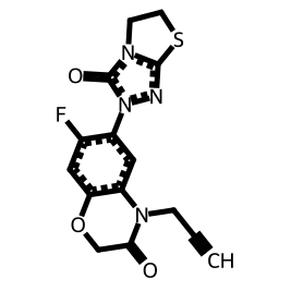 C#CCN1C(=O)COc2cc(F)c(-n3nc4n(c3=O)CCS4)cc21